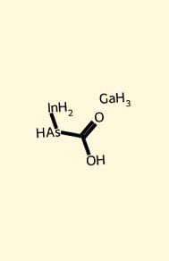 O=C(O)[AsH][InH2].[GaH3]